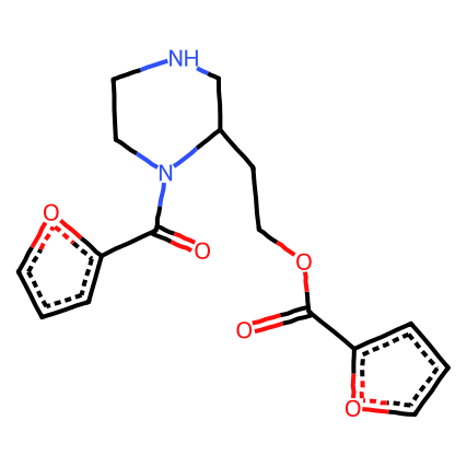 O=C(OCCC1CNCCN1C(=O)c1ccco1)c1ccco1